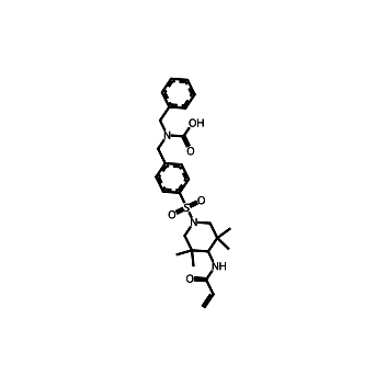 C=CC(=O)NC1C(C)(C)CN(S(=O)(=O)c2ccc(CN(Cc3ccccc3)C(=O)O)cc2)CC1(C)C